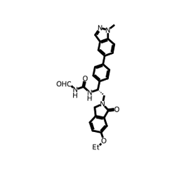 CCOc1ccc2c(c1)C(=O)N(C[C@H](NC(=O)NC=O)c1ccc(-c3ccc4c(cnn4C)c3)cc1)C2